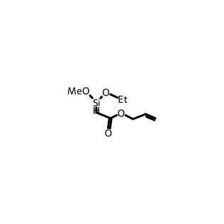 C=CCOC(=O)C[SiH](OC)OCC